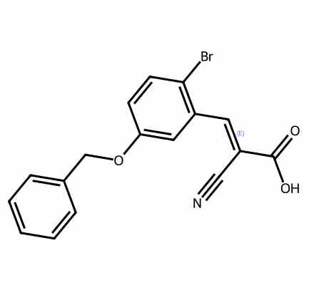 N#C/C(=C\c1cc(OCc2ccccc2)ccc1Br)C(=O)O